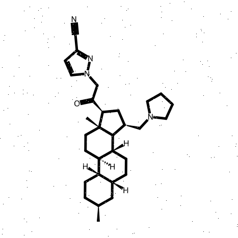 C[C@H]1CC[C@H]2[C@H](CC[C@H]3C4[C@H](CN5CCCC5)C[C@H](C(=O)Cn5ccc(C#N)n5)[C@@]4(C)CC[C@H]23)C1